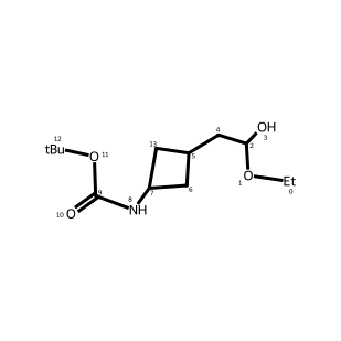 CCOC(O)CC1CC(NC(=O)OC(C)(C)C)C1